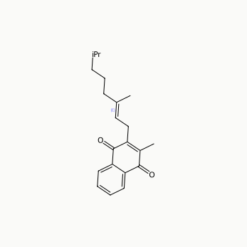 CC1=C(C/C=C(\C)CCCC(C)C)C(=O)c2ccccc2C1=O